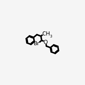 CC(Cc1ccccc1)C(Br)OCc1ccccc1